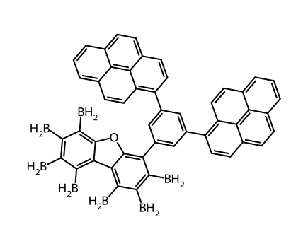 Bc1c(B)c(B)c2c(oc3c(-c4cc(-c5ccc6ccc7cccc8ccc5c6c78)cc(-c5ccc6ccc7cccc8ccc5c6c78)c4)c(B)c(B)c(B)c32)c1B